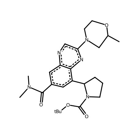 CC1CN(c2cnc3cc(C(=O)N(C)C)cc(C4CCCN4C(=O)OC(C)(C)C)c3n2)CCO1